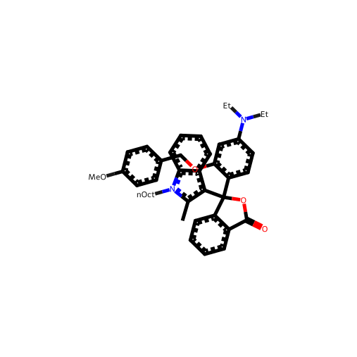 CCCCCCCCn1c(C)c(C2(c3ccc(N(CC)CC)cc3OCc3ccc(OC)cc3)OC(=O)c3ccccc32)c2ccccc21